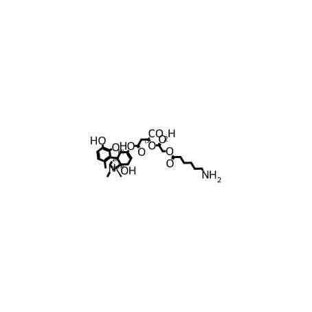 Cc1ccc(O)c2c1[C@]13CCN(C)[C@H](C)[C@]1(O)CC=C(OC(=O)C[C@H](OC(=O)COC(=O)CCCCCN)C(=O)O)[C@@H]3O2